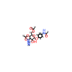 CC(=O)Nc1ccc(O[C@H]2OC(COC(C)=O)[C@@H](OC(C)=O)[C@@H](N=[N+]=[N-])C2O)cc1